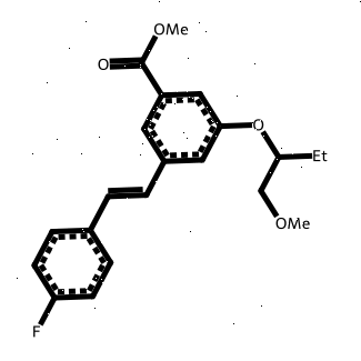 CCC(COC)Oc1cc(C=Cc2ccc(F)cc2)cc(C(=O)OC)c1